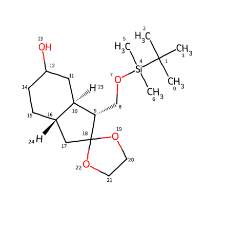 CC(C)(C)[Si](C)(C)OC[C@H]1[C@@H]2CC(O)CC[C@H]2CC12OCCO2